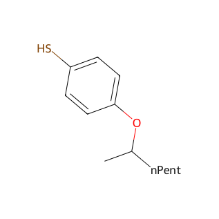 CCCCCC(C)Oc1ccc(S)cc1